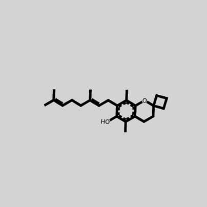 CC(C)=CCC/C(C)=C/Cc1c(C)c2c(c(C)c1O)CCC1(CCC1)O2